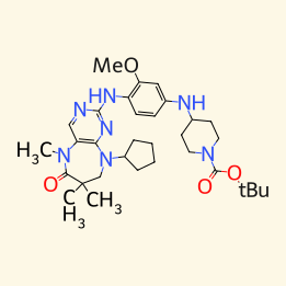 COc1cc(NC2CCN(C(=O)OC(C)(C)C)CC2)ccc1Nc1ncc2c(n1)N(C1CCCC1)CC(C)(C)C(=O)N2C